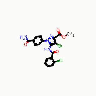 COC(=O)c1nn(-c2ccc(C(N)=O)cc2)c(NC(=O)c2ccccc2Cl)c1Br